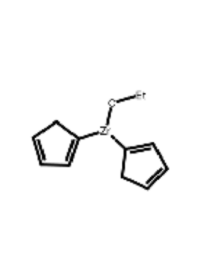 CC[O][Zr]([C]1=CC=CC1)[C]1=CC=CC1